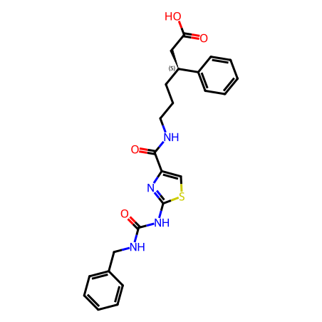 O=C(O)C[C@H](CCCNC(=O)c1csc(NC(=O)NCc2ccccc2)n1)c1ccccc1